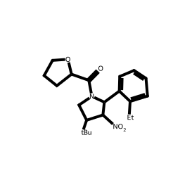 CCc1ccccc1C1C([N+](=O)[O-])C(C(C)(C)C)CN1C(=O)C1CCCO1